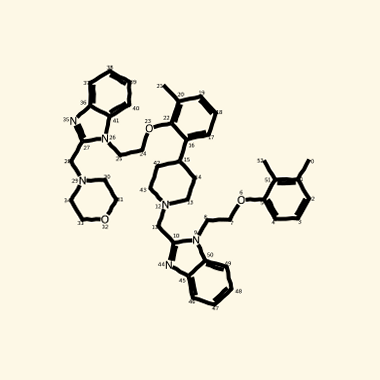 Cc1cccc(OCCn2c(CN3CCC(c4cccc(C)c4OCCn4c(CN5CCOCC5)nc5ccccc54)CC3)nc3ccccc32)c1C